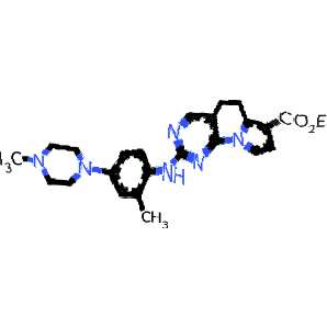 CCOC(=O)c1ccn2c1CCc1cnc(Nc3ccc(N4CCN(C)CC4)cc3C)nc1-2